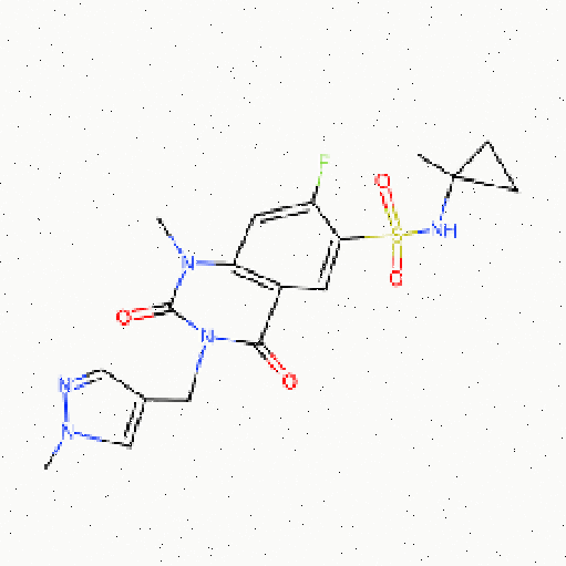 Cn1cc(Cn2c(=O)c3cc(S(=O)(=O)NC4(C)CC4)c(F)cc3n(C)c2=O)cn1